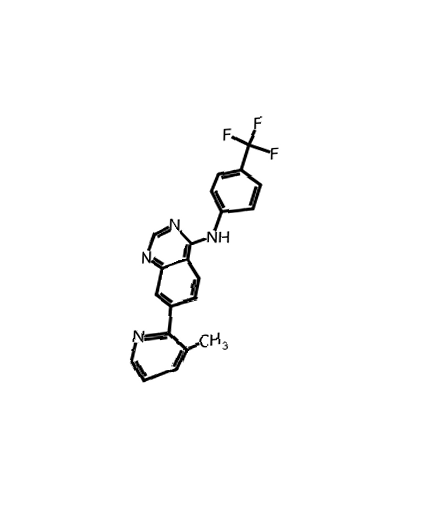 Cc1cccnc1-c1ccc2c(Nc3ccc(C(F)(F)F)cc3)ncnc2c1